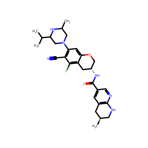 CC1CN(c2cc3c(c(F)c2C#N)C[C@@H](NC(=O)c2cnc4c(c2)C[C@H](C)CN4)CO3)CC(C(C)C)N1